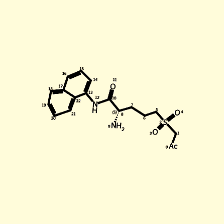 CC(=O)CS(=O)(=O)CCC[C@H](N)C(=O)Nc1cccc2ccccc12